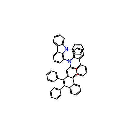 c1ccc(-c2ccccc2N(c2ccc3c(c2)c(-c2ccccc2)c(-c2ccccc2)c2ccccc23)c2cccc3c4ccccc4n(-c4ccccc4)c23)cc1